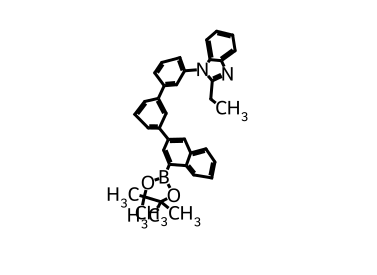 CCc1nc2ccccc2n1-c1cccc(-c2cccc(-c3cc(B4OC(C)(C)C(C)(C)O4)c4ccccc4c3)c2)c1